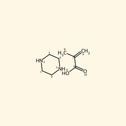 C1CNCCN1.C=C(C)C(=O)O